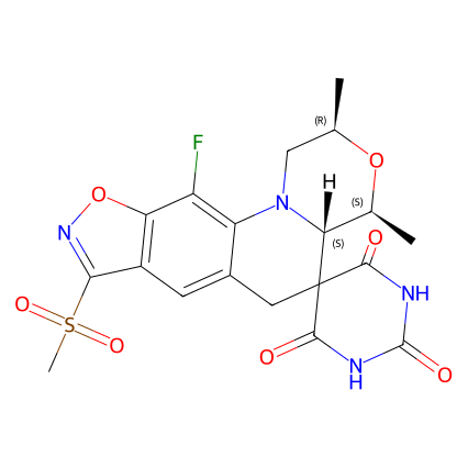 C[C@@H]1CN2c3c(cc4c(S(C)(=O)=O)noc4c3F)CC3(C(=O)NC(=O)NC3=O)[C@H]2[C@H](C)O1